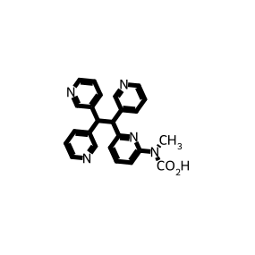 CN(C(=O)O)c1cccc(C(c2cccnc2)C(c2cccnc2)c2cccnc2)n1